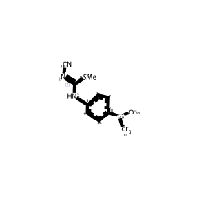 CS/C(=N\C#N)Nc1ccc([S+]([O-])C(F)(F)F)cc1